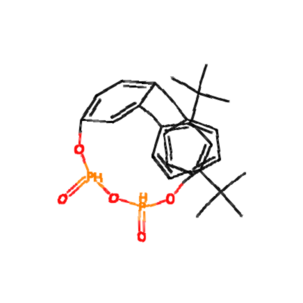 CC(C)(C)c1ccc(-c2cc3ccc2-c2ccc(cc2)O[PH](=O)O[PH](=O)O3)c(C(C)(C)C)c1